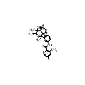 Cc1cc(Cl)cnc1C(=O)Nc1ccc(F)c([C@@]2(C)N=C(N)C(C)(C)S3(O)NCC[C@@H]23)n1